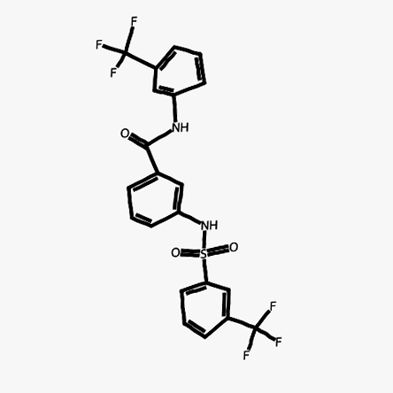 O=C(Nc1cccc(C(F)(F)F)c1)c1cccc(NS(=O)(=O)c2cccc(C(F)(F)F)c2)c1